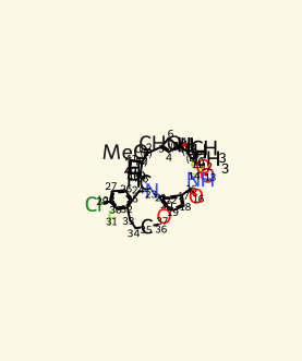 CO[C@@]1(C=O)C2=C[C@@H](C2)[C@H](C)[C@@H](C)S(=O)(=O)NC(=O)c2ccc3c(c2)N(Cc2ccc(Cl)c(F)c2CCCCO3)C[C@@H]2CC[C@H]21